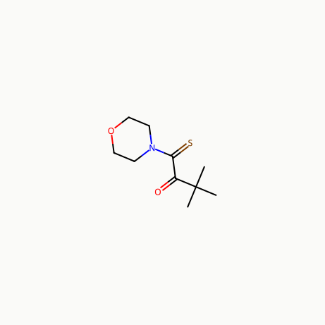 CC(C)(C)C(=O)C(=S)N1CCOCC1